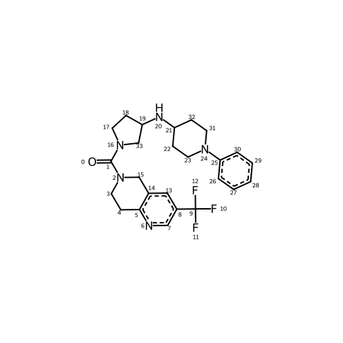 O=C(N1CCc2ncc(C(F)(F)F)cc2C1)N1CCC(NC2CCN(c3ccccc3)CC2)C1